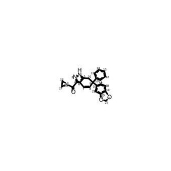 O=C(c1n[nH]c2c1C=CC(c1ccccc1)(c1ccc3c(c1)OCO3)C2)N1CC1